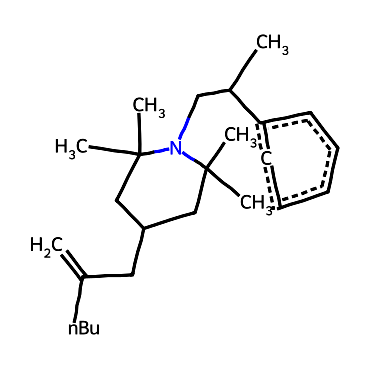 C=C(CCCC)CC1CC(C)(C)N(CC(C)c2ccccc2)C(C)(C)C1